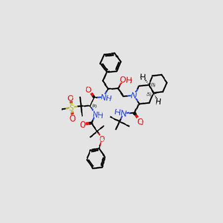 CC(C)(C)NC(=O)C1C[C@@H]2CCCC[C@@H]2CN1CC(O)C(Cc1ccccc1)NC(=O)[C@@H](NC(=O)C(C)(C)Oc1ccccc1)C(C)(C)S(C)(=O)=O